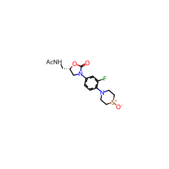 CC(=O)NC[C@H]1CN(c2ccc(N3CC[S+]([O-])CC3)c(F)c2)C(=O)O1